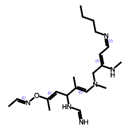 C/C=N/O/C(C)=C/C(NC=N)/C(C)=C/N(C)C/C(=C/C=N\CCCC)NC